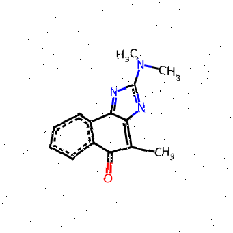 CC1=C2N=C(N(C)C)N=C2c2ccccc2C1=O